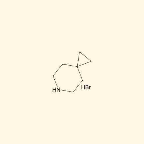 Br.C1CC2(CCN1)CC2